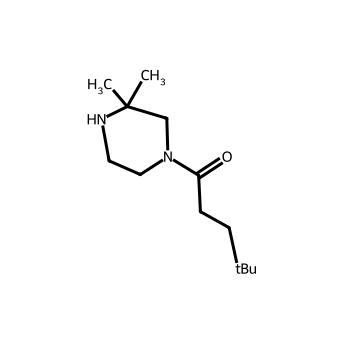 CC(C)(C)CCC(=O)N1CCNC(C)(C)C1